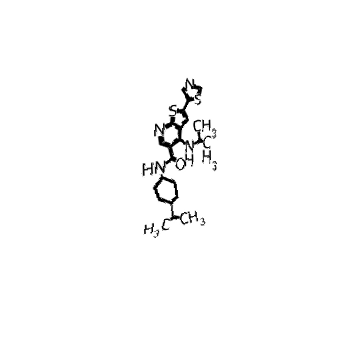 CC(C)Nc1c(C(=O)N[C@H]2CC[C@H](C(C)C)CC2)cnc2sc(-c3cncs3)cc12